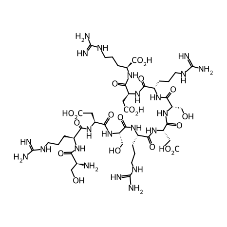 N=C(N)NCCC[C@H](NC(=O)[C@H](CC(=O)O)NC(=O)[C@H](CCCNC(=N)N)NC(=O)[C@H](CO)NC(=O)[C@H](CC(=O)O)NC(=O)[C@H](CCCNC(=N)N)NC(=O)[C@H](CO)NC(=O)[C@H](CC(=O)O)NC(=O)[C@H](CCCNC(=N)N)NC(=O)[C@@H](N)CO)C(=O)O